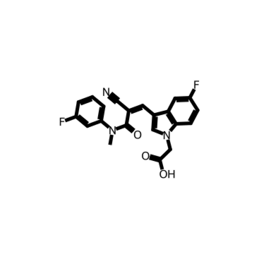 CN(C(=O)C(C#N)=Cc1cn(CC(=O)O)c2ccc(F)cc12)c1cccc(F)c1